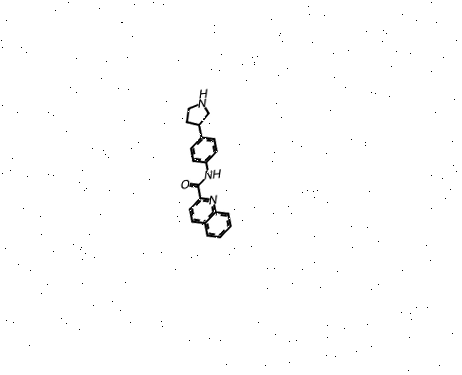 O=C(Nc1ccc(C2CCNC2)cc1)c1ccc2ccccc2n1